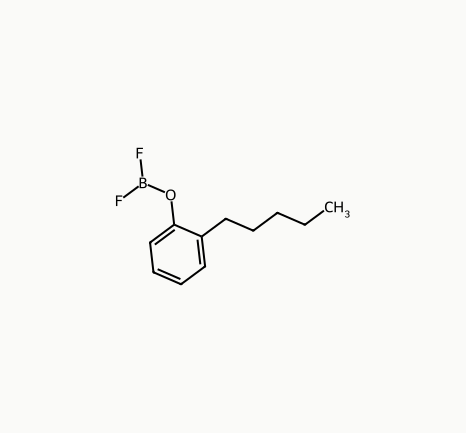 CCCCCc1ccccc1OB(F)F